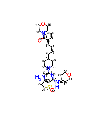 C=C/C(=C\C=C/CC1CCN(C(=C)/N=C(/NC2CCOCC2)C2=C(N)CC[S+]2[O-])CC1)C(=O)N1CCOCC1